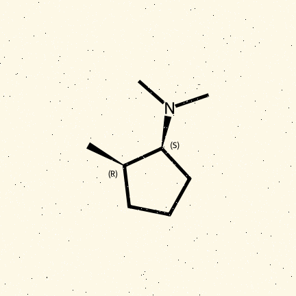 C[C@@H]1CCC[C@@H]1N(C)C